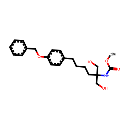 CC(C)(C)OC(=O)NC(CO)(CO)CCCCc1ccc(OCc2ccccc2)cc1